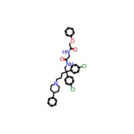 O=C(CNC(=O)COc1ccccc1)NCC(CCCN1CCC(c2ccccc2)CC1)(c1ccc(Cl)cc1)c1ccc(Cl)cc1